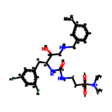 CCCN(CCC)S(=O)(=O)CCNC(=O)N[C@@H](Cc1cc(F)cc(F)c1)[C@@H](O)CNCc1cccc(OC)c1